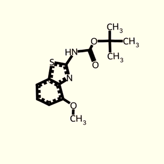 COc1cccc2sc(NC(=O)OC(C)(C)C)nc12